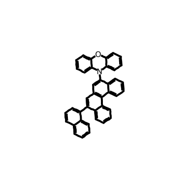 c1ccc2c(c1)Oc1ccccc1N2c1cc2cc(-c3cccc4ccccc34)c3ccccc3c2c2ccccc12